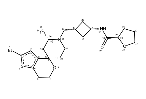 CCc1cc2c(s1)CCO[C@@]21CCN(C[C@H]2C[C@@H](NC(=O)[C@H]3CCCO3)C2)[C@@H](C)C1